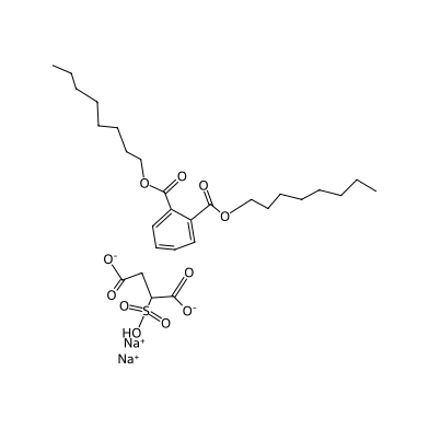 CCCCCCCCOC(=O)c1ccccc1C(=O)OCCCCCCCC.O=C([O-])CC(C(=O)[O-])S(=O)(=O)O.[Na+].[Na+]